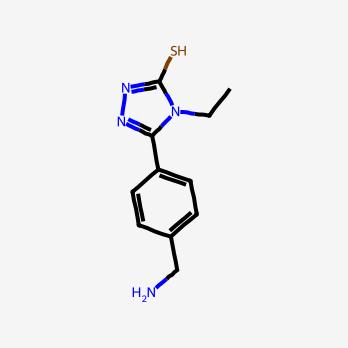 CCn1c(S)nnc1-c1ccc(CN)cc1